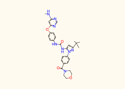 CNc1cc(Oc2ccc(NC(=O)Nc3cc(C(C)(C)C)nn3-c3ccc(C(=O)N4CCOCC4)cc3)cc2)ncn1